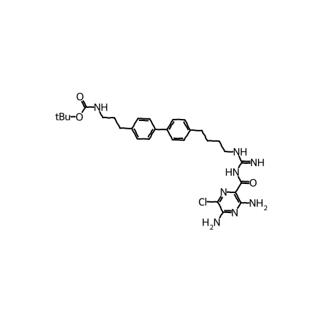 CC(C)(C)OC(=O)NCCCc1ccc(-c2ccc(CCCCNC(=N)NC(=O)c3nc(Cl)c(N)nc3N)cc2)cc1